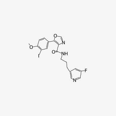 COc1ccc(-c2ocnc2C(=O)NCCCc2cncc(F)c2)cc1I